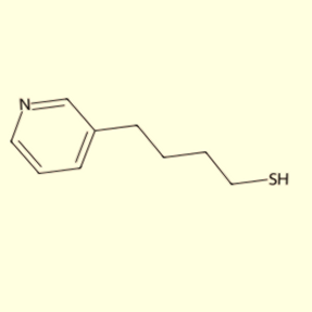 SCCCCc1cccnc1